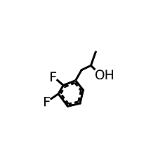 CC(O)Cc1cccc(F)c1F